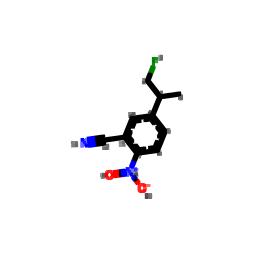 C[C](CF)c1ccc([N+](=O)[O-])c(C#N)c1